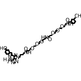 C#Cc1cccc(C(=O)NCCOCCOCCOCCC(=O)NCCOCCOCCOCCC(=O)NCCCCn2nc(-c3cc4cc(O)ccc4[nH]3)c3c(N)ncnc32)c1